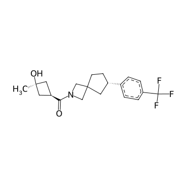 C[C@]1(O)C[C@@H](C(=O)N2CC3(CC[C@H](c4ccc(C(F)(F)F)cc4)C3)C2)C1